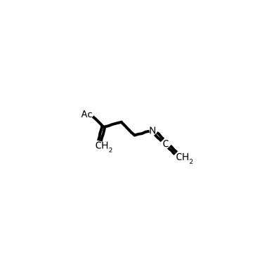 C=C=NCCC(=C)C(C)=O